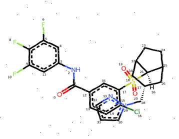 O=C(Nc1cc(F)c(F)c(F)c1)c1ccc(Cl)c(S(=O)(=O)[C@H]2C3CCC2C[C@H](Cn2cccn2)C3)c1